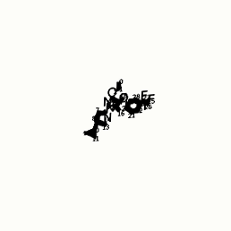 CCOc1nn(-c2ccc(C3CC3)cn2)c(C)c1Oc1cccc(C(F)(F)F)c1